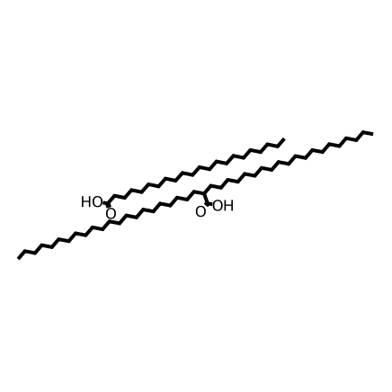 CCCCCCCCCCCCCCCCCCCCCC(=O)O.CCCCCCCCCCCCCCCCCCCCCCC(CCCCCCCCCCCCCCCCCCCC)C(=O)O